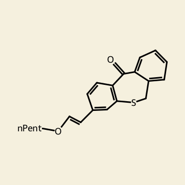 CCCCCOC=Cc1ccc2c(c1)SCc1ccccc1C2=O